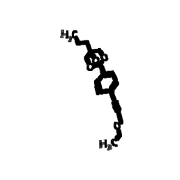 CCCC12COC(c3ccc(C#CCOCC)cc3)(OC1)OC2